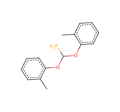 Cc1ccccc1OC(P)Oc1ccccc1C